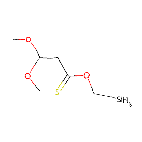 COC(CC(=S)OC[SiH3])OC